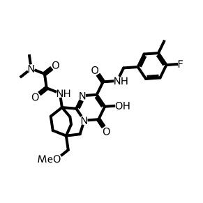 COCC12CCC(NC(=O)C(=O)N(C)C)(CC1)c1nc(C(=O)NCc3ccc(F)c(C)c3)c(O)c(=O)n1C2